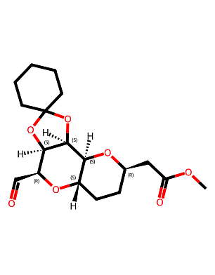 COC(=O)C[C@H]1CC[C@@H]2O[C@@H](C=O)[C@H]3OC4(CCCCC4)O[C@H]3[C@H]2O1